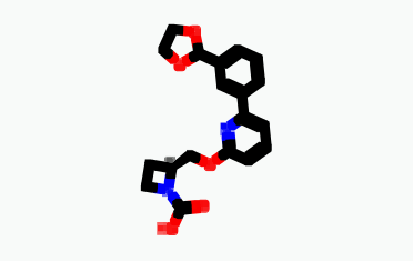 O=C(O)N1CC[C@H]1COc1cccc(-c2cccc(C3OCCO3)c2)n1